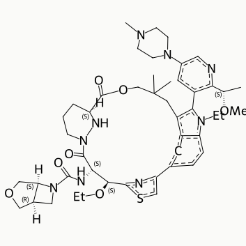 CCO[C@@H]1c2nc(cs2)-c2ccc3c(c2)c(c(-c2cc(N4CCN(C)CC4)cnc2[C@H](C)OC)n3CC)CC(C)(C)COC(=O)[C@@H]2CCCN(N2)C(=O)[C@H]1NC(=O)N1C[C@H]2COC[C@H]21